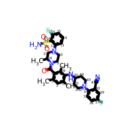 Cc1cc(C)c(C(=O)N2CCN(c3cccc(F)c3S(N)(=O)=O)CC2C)c(C)c1NC1CCN(c2ccc(F)cc2C#N)CC1